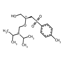 Cc1ccc(S(=O)(=O)C[C@H](CO)OCP(C(C)C)C(C)C)cc1